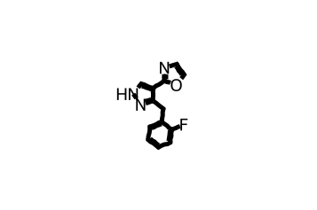 Fc1ccccc1Cc1n[nH]cc1-c1ncco1